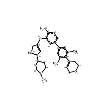 Cc1cc(-c2cnc(N)c(OC3=CN(C4CCN(C)CC4)NC3)n2)cc(C)c1C1=CCOCC1